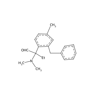 CCC(C=O)(c1ccc(C)cc1Cc1ccccc1)N(C)C